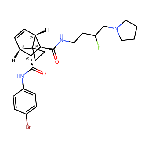 O=C(NCCC(F)CN1CCCC1)[C@H]1[C@H](C(=O)Nc2ccc(Br)cc2)[C@@H]2C=C[C@H]1C21CC1